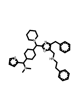 CN(C)C(c1cccs1)C1CCC(C(c2nc(Cc3ccccc3)c(CNCCc3ccccc3)o2)N2CCCCC2)CC1